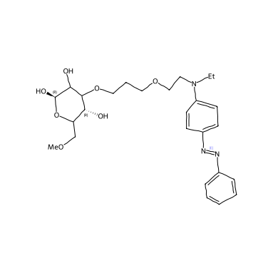 CCN(CCOCCCOC1C(O)[C@H](O)OC(COC)[C@H]1O)c1ccc(/N=N/c2ccccc2)cc1